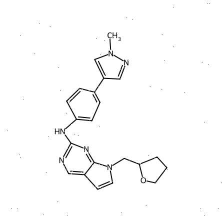 Cn1cc(-c2ccc(Nc3ncc4ccn(CC5CCCO5)c4n3)cc2)cn1